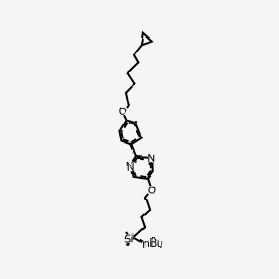 CCCC[Si](C)(C)CCCCOc1cnc(-c2ccc(OCCCCCCC3CC3)cc2)nc1